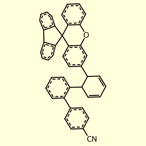 N#Cc1ccc(-c2ccccc2C2C=CC=CC2c2ccc3c(c2)Oc2ccccc2C32c3ccccc3-c3ccccc32)cc1